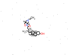 C=CCN1C[C@H]2CON(C(=O)CC[C@@H](C)[C@H]3CC[C@H]4[C@@H]5CC=C6C[C@@H](O)CC[C@]6(C)[C@H]5CC[C@]34C)[C@H]2C1